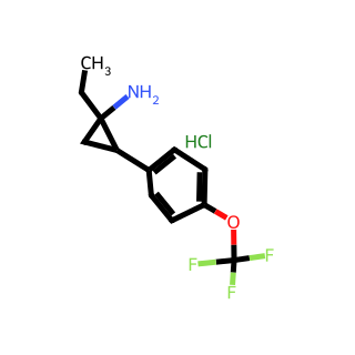 CCC1(N)CC1c1ccc(OC(F)(F)F)cc1.Cl